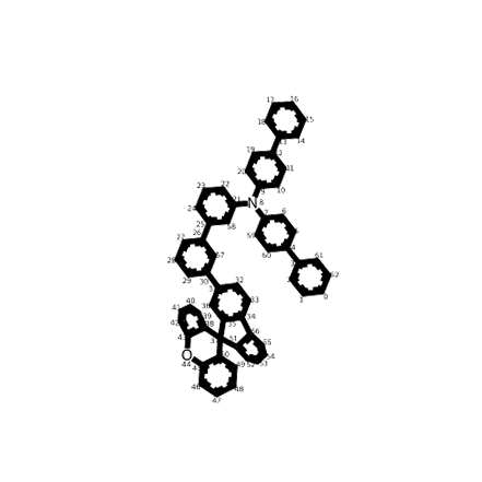 c1ccc(-c2ccc(N(c3ccc(-c4ccccc4)cc3)c3cccc(-c4cccc(-c5ccc6c(c5)C5(c7ccccc7Oc7ccccc75)c5ccccc5-6)c4)c3)cc2)cc1